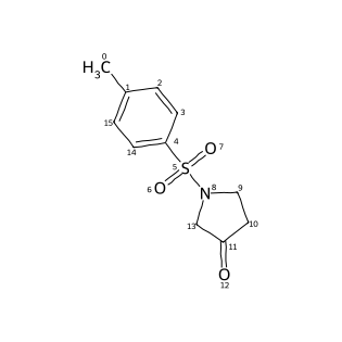 Cc1ccc(S(=O)(=O)N2CCC(=O)C2)cc1